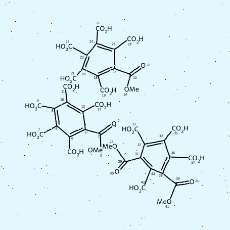 COC(=O)c1c(C(=O)O)c(C(=O)O)c(C(=O)O)c(C(=O)O)c1C(=O)O.COC(=O)c1c(C(=O)O)c(C(=O)O)c(C(=O)O)c(C(=O)O)c1C(=O)O.COC(=O)c1c(C(=O)O)c(C(=O)O)c(C(=O)O)c(C(=O)OC)c1C(=O)O